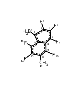 Bc1c(F)c(F)c(F)c2c(F)c(C)c(F)c(F)c12